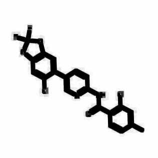 Cc1ccc(C(=O)Nc2ccc(-c3cc4c(cc3Cl)OC(F)(F)O4)cn2)c(Cl)c1